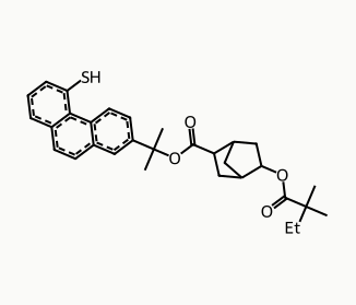 CCC(C)(C)C(=O)OC1CC2CC1CC2C(=O)OC(C)(C)c1ccc2c(ccc3cccc(S)c32)c1